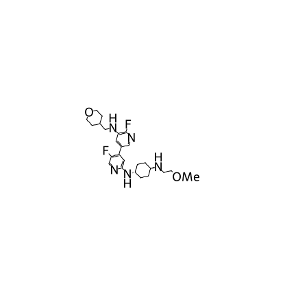 COCCN[C@H]1CC[C@H](Nc2cc(-c3cnc(F)c(NCC4CCOCC4)c3)c(F)cn2)CC1